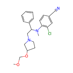 COCOC1CCN(CC(c2ccccc2)N(C)c2ccc(C#N)cc2Cl)C1